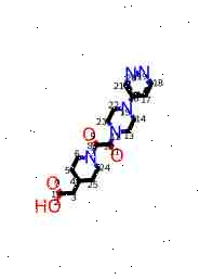 O=C(O)CC1CCN(C(=O)C(=O)N2CCN(c3ccnnc3)CC2)CC1